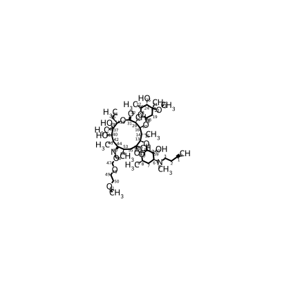 C#CCCN(C)[C@H]1C[C@@H](C)O[C@@H](O[C@@H]2[C@@H](C)[C@H](OC3C[C@@](C)(OC)[C@@H](O)[C@H](C)O3)[C@@H](C)C(=O)O[C@H](CC)[C@@](C)(O)[C@H](O)[C@@H](C)/C(=N/OCOCCOC)[C@H](C)C[C@@]2(C)O)[C@@H]1O